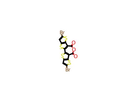 O=c1oc(=O)c2c3sc(Br)cc3sc2c2sc3cc(Br)sc3c12